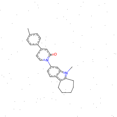 Cc1ccc(-c2ccn(-c3ccc4c5c(n(C)c4c3)CCCCC5)c(=O)c2)cc1